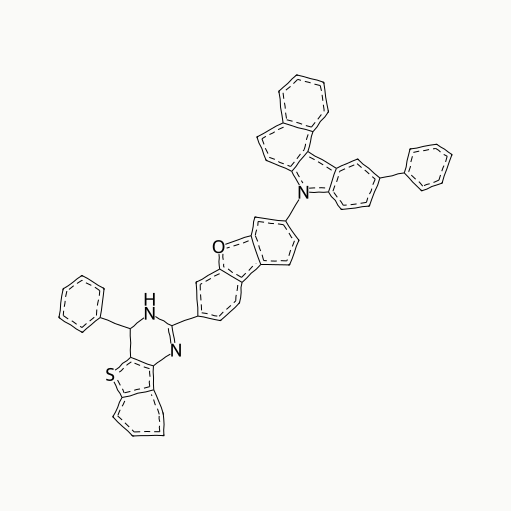 c1ccc(-c2ccc3c(c2)c2c4ccccc4ccc2n3-c2ccc3c(c2)oc2cc(C4=Nc5c(sc6ccccc56)C(c5ccccc5)N4)ccc23)cc1